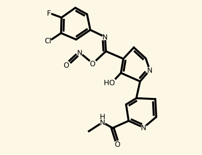 CNC(=O)c1cc(-c2nccc(/C(=N/c3ccc(F)c(Cl)c3)ON=O)c2O)ccn1